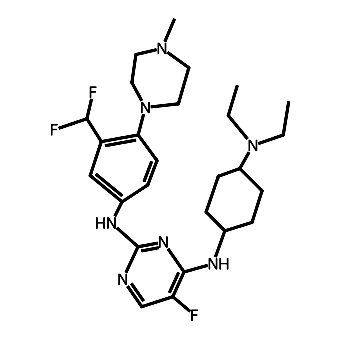 CCN(CC)C1CCC(Nc2nc(Nc3ccc(N4CCN(C)CC4)c(C(F)F)c3)ncc2F)CC1